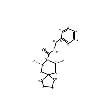 C[C@@H]1CC2(C[C@H](C)N1C(=O)OCc1ccccc1)SCCS2